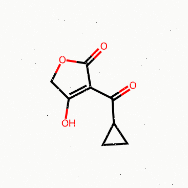 O=C1OCC(O)=C1C(=O)C1CC1